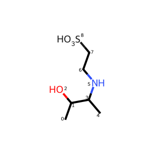 CC(O)C(C)NCCS(=O)(=O)O